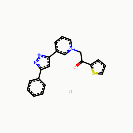 O=C(C[n+]1cccc(-c2cc(-c3ccccc3)n[nH]2)c1)c1cccs1.[Cl-]